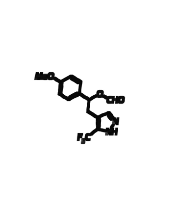 COc1ccc(C(Cc2cn[nH]c2C(F)(F)F)OC=O)cc1